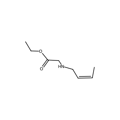 C/C=C\CNCC(=O)OCC